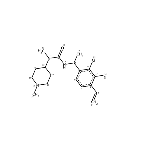 C=Cc1ccc(C(C)NC(=O)N(C)C2CCN(C)CC2)c(Cl)c1Cl